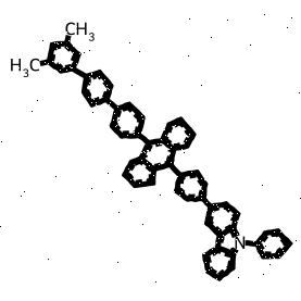 Cc1cc(C)cc(-c2ccc(-c3ccc(-c4c5ccccc5c(-c5ccc(-c6ccc7c(c6)c6ccccc6n7-c6ccccc6)cc5)c5ccccc45)cc3)cc2)c1